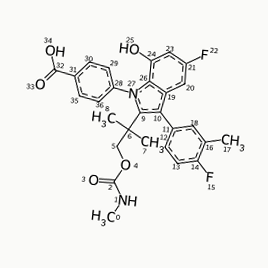 CNC(=O)OCC(C)(C)c1c(-c2ccc(F)c(C)c2)c2cc(F)cc(O)c2n1-c1ccc(C(=O)O)cc1